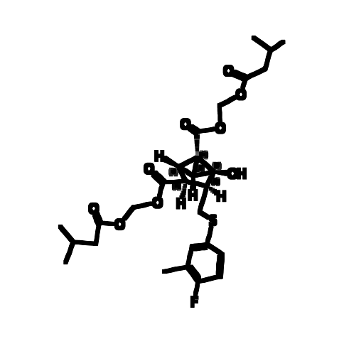 Cc1cc(SC[C@H]2[C@@H](C(=O)OCOC(=O)CC(C)C)[C@H]3[C@H]4[C@]2(O)[C@]34C(=O)OCOC(=O)CC(C)C)ccc1F